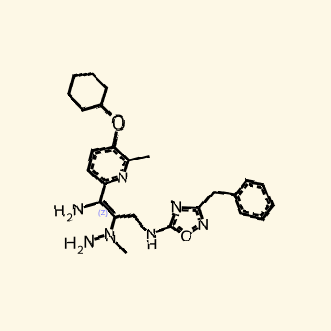 Cc1nc(/C(N)=C(\CNc2nc(Cc3ccccc3)no2)N(C)N)ccc1OC1CCCCC1